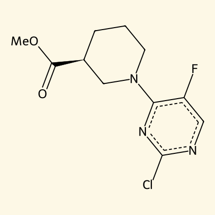 COC(=O)[C@H]1CCCN(c2nc(Cl)ncc2F)C1